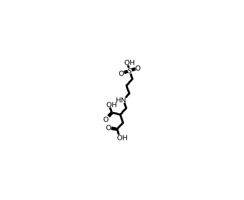 O=C(O)CC(CNCCCS(=O)(=O)O)C(=O)O